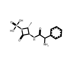 C[C@@H]1[C@@H](NC(=O)C(N)c2ccccc2)C(=O)N1P(=O)(O)O